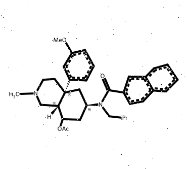 COc1cccc([C@@]23CCN(C)C[C@H]2C(OC(C)=O)C[C@H](N(CC(C)C)C(=O)c2ccc4ccccc4c2)C3)c1